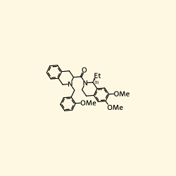 CC[C@H]1c2cc(OC)c(OC)cc2CCN1C(=O)C1Cc2ccccc2CN1Cc1ccccc1OC